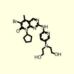 Cc1c(Br)c(=O)n(C2CCCC2)c2nc(Nc3ccc(N(CCO)CCO)cn3)ncc12